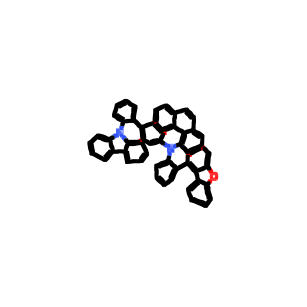 c1ccc(N(c2ccc(-c3ccccc3-n3c4ccccc4c4ccccc43)cc2)c2cccc3ccc4ccccc4c23)c(-c2cccc3oc4ccccc4c23)c1